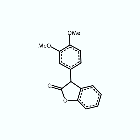 COc1ccc(C2C(=O)Oc3ccccc32)cc1OC